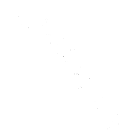 O=C(Nc1nc2cc(-c3cccc(C(F)(F)F)c3)ccc2[nH]1)c1cn2ccc(CNCC(O)c3ccccc3)cc2n1